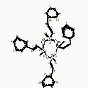 C[Si]1(/C=C\c2ccccc2)O[Si](C)(/C=C/c2ccccc2)O[Si](C)(/C=C/c2ccccc2)O[Si](C)(/C=C/c2ccccc2)O1